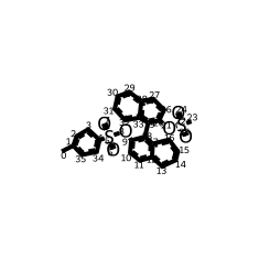 Cc1ccc(S(=O)(=O)Oc2ccc3ccccc3c2-c2c(OS(C)(=O)=O)ccc3ccccc23)cc1